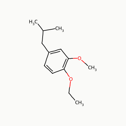 CCOc1ccc(CC(C)C)cc1OC